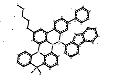 CCCCCc1cc2c3c(c1)N1c4ccccc4C(C)(C)c4cccc(c41)B3N(c1cccc3c1sc1ccccc13)c1cc(-c3ccccc3)ccc1-2